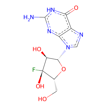 Nc1nc2c(ncn2[C@@H]2O[C@H](CO)[C@](O)(F)[C@H]2O)c(=O)[nH]1